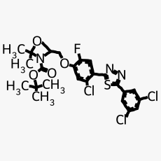 CC(C)(C)OC(=O)N1C(COc2cc(Cl)c(-c3nnc(-c4cc(Cl)cc(Cl)c4)s3)cc2F)COC1(C)C